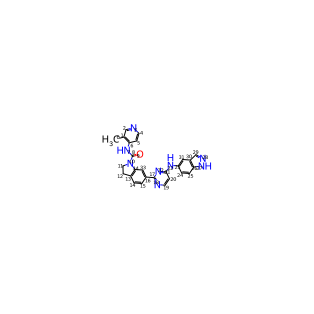 Cc1cnccc1NC(=O)N1CCc2ccc(-c3nccc(Nc4ccc5[nH]ncc5c4)n3)cc21